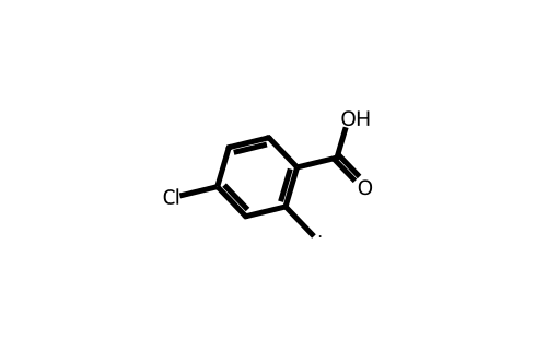 [CH2]c1cc(Cl)ccc1C(=O)O